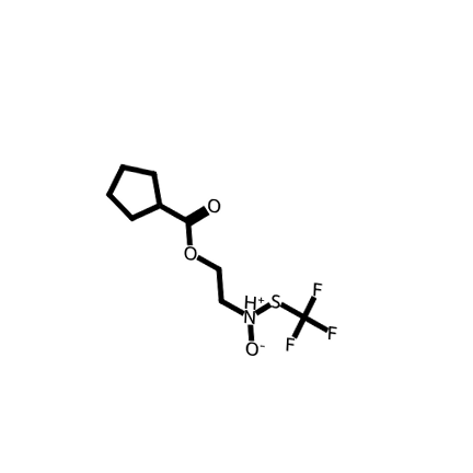 O=C(OCC[NH+]([O-])SC(F)(F)F)C1CCCC1